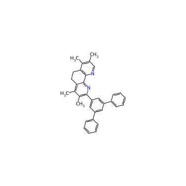 Cc1cnc2c(c1C)CCc1c-2nc(-c2cc(-c3ccccc3)cc(-c3ccccc3)c2)c(C)c1C